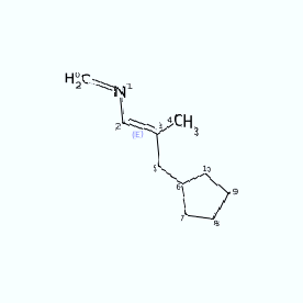 C=N/C=C(\C)CC1CCCC1